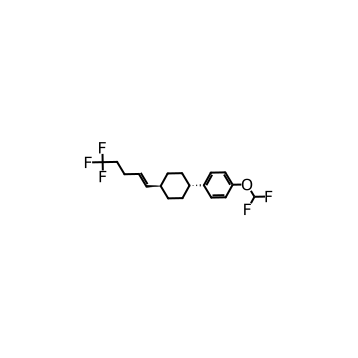 FC(F)Oc1ccc([C@H]2CC[C@H](C=CCCC(F)(F)F)CC2)cc1